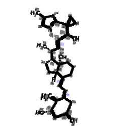 C=C1/C(=C\C=C2/CCC[C@]3(C)[C@@H]([C@H](C)/C=C/[C@H](O)C4(c5ncc(C)s5)CC4)CC[C@@H]23)C[C@@H](O)C[C@@H]1O